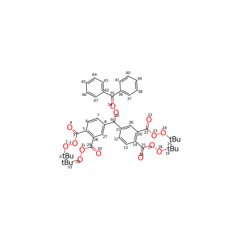 CC(C)(C)OOC(=O)c1ccc(C(=O)c2ccc(C(=O)OOC(C)(C)C)c(C(=O)OOC(C)(C)C)c2)cc1C(=O)OOC(C)(C)C.O=C(c1ccccc1)c1ccccc1